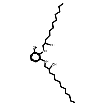 CCCCCCCCCCC(O)CNc1cccc(O)c1NCC(O)CCCCCCCCCC